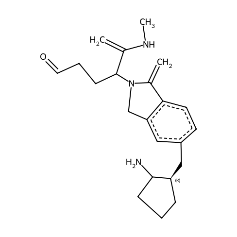 C=C(NC)C(CCC=O)N1Cc2cc(C[C@H]3CCCC3N)ccc2C1=C